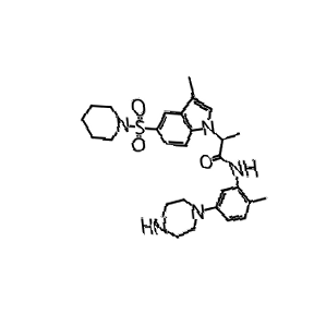 Cc1ccc(N2CCNCC2)cc1NC(=O)C(C)n1cc(C)c2cc(S(=O)(=O)N3CCCCC3)ccc21